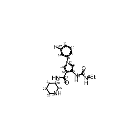 CCNC(=O)Nc1cn(-c2cccc(F)c2)cc1C(=O)N[C@H]1CCCNC1